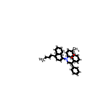 C=C/C=C/c1ccc(N(C=C(c2ccccc2)c2ccccc2)c2ccc(C)cc2)c2ccccc12